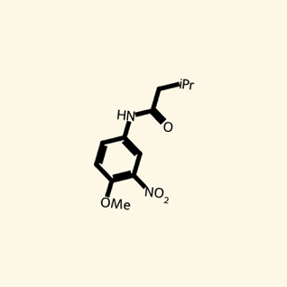 COc1ccc(NC(=O)CC(C)C)cc1[N+](=O)[O-]